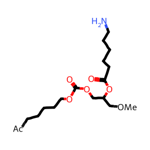 COCC(COC(=O)OCCCCCC(C)=O)OC(=O)CCCCCN